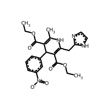 CCOC(=O)C1=C(C)NC(Cc2ncc[nH]2)=C(C(=O)OCC)C1c1cccc([N+](=O)[O-])c1